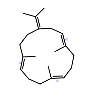 CC(C)=C1C/C=C(\C)CC/C=C(\C)CC/C=C(\C)CC1